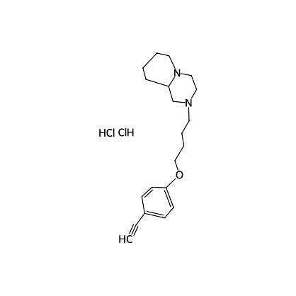 C#Cc1ccc(OCCCCN2CCN3CCCCC3C2)cc1.Cl.Cl